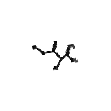 C=C(C)C(C(C)=O)C(=O)OCC